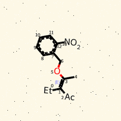 CC/C(C(C)=O)=C(/C)OCc1ccccc1[N+](=O)[O-]